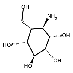 N[C@H]1[C@H](O)[C@H](O)[C@@H](O)[C@H](O)[C@@H]1CO